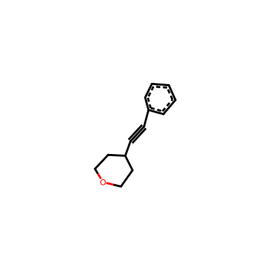 C(#CC1CCOCC1)c1ccccc1